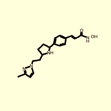 Cc1ccn(CCC2CCC(c3ccc(/C=C/C(=O)NO)cc3)N2)n1